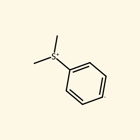 C[S+](C)c1cc[c]cc1